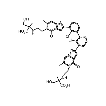 Cc1cn2nc(-c3cccc(-c4cccc(-c5cc6c(=O)n(CCNC(C)(CO)C(=O)O)c(C)cn6n5)c4Cl)c3Cl)cc2c(=O)n1CCNC(C)(CO)C(=O)O